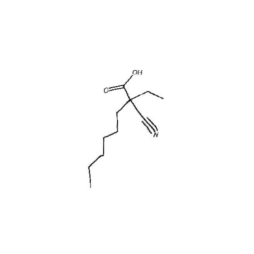 CCCCCCC(C#N)(CC)C(=O)O